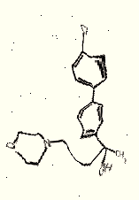 CC(O)(CCN1CCOCC1)c1ccc(-c2ccc(Cl)cc2)cc1